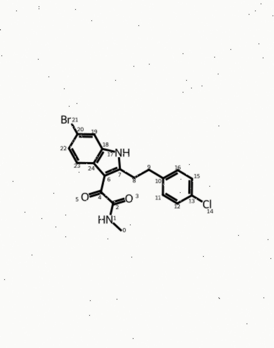 CNC(=O)C(=O)c1c(CCc2ccc(Cl)cc2)[nH]c2cc(Br)ccc12